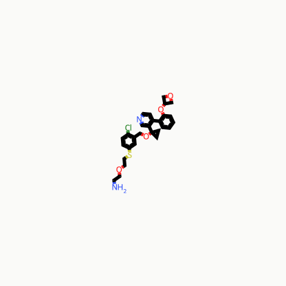 NCCOCCSc1ccc(Cl)c(COC2(c3cnccc3-c3ccccc3OC3COC3)CC2)c1